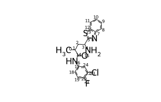 CC(CC(N)c1nc2ccccc2s1)C(=O)Nc1ccc(F)c(Cl)c1